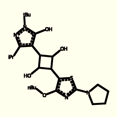 CCCCOc1nc(N2CCCC2)sc1C1C(O)C(c2c(C(C)C)nn(C(C)(C)C)c2O)C1O